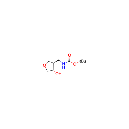 CC(C)(C)OC(=O)NC[C@@H]1COC[C@H]1O